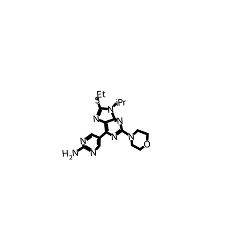 CCSc1nc2c(-c3cnc(N)nc3)nc(N3CCOCC3)nc2n1C(C)C